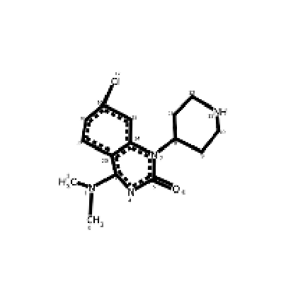 CN(C)c1nc(=O)n(C2CCNCC2)c2cc(Cl)ccc12